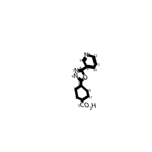 O=C(O)C1CCC(c2nnc(-c3cccnc3)o2)CC1